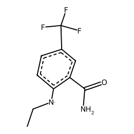 CC[N]c1ccc(C(F)(F)F)cc1C(N)=O